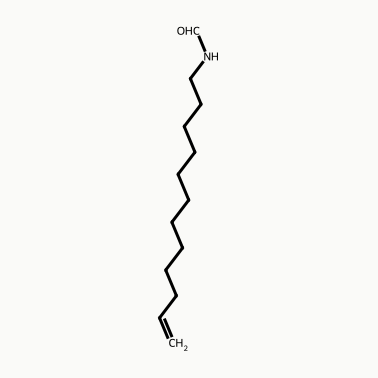 C=CCCCCCCCCCCNC=O